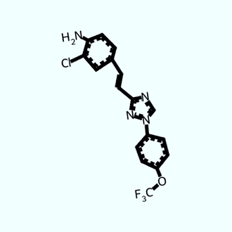 Nc1ccc(/C=C/c2ncn(-c3ccc(OC(F)(F)F)cc3)n2)cc1Cl